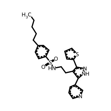 CCCCCc1ccc(S(=O)(=O)NCCc2c(-c3cccs3)n[nH]c2-c2cccnc2)cc1